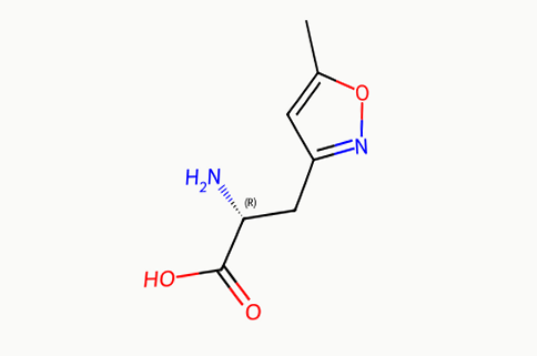 Cc1cc(C[C@@H](N)C(=O)O)no1